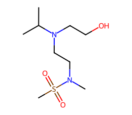 CC(C)N(CCO)CCN(C)S(C)(=O)=O